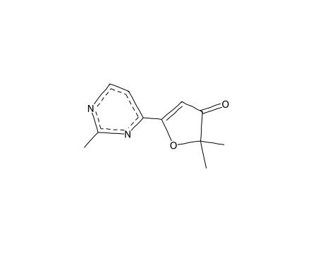 Cc1nccc(C2=CC(=O)C(C)(C)O2)n1